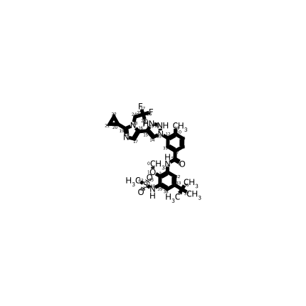 COc1c(NC(=O)c2ccc(C)c(N3C=C(c4cnc(C5CC5)n4CC(F)(F)F)NN3)c2)cc(C(C)(C)C)cc1NS(C)(=O)=O